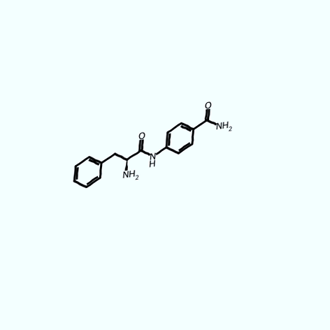 NC(=O)c1ccc(NC(=O)[C@@H](N)Cc2ccccc2)cc1